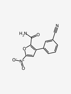 N#Cc1cccc(-c2cc([N+](=O)[O-])oc2C(N)=O)c1